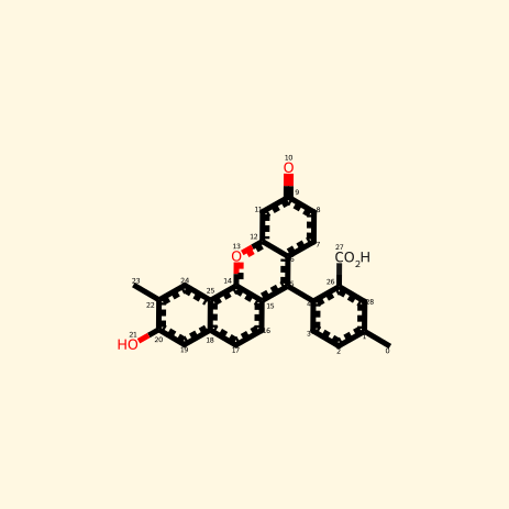 Cc1ccc(-c2c3ccc(=O)cc-3oc3c2ccc2cc(O)c(C)cc23)c(C(=O)O)c1